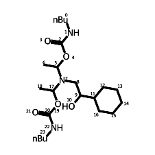 CCCCNC(=O)OC(C)N(CC(O)C1CCCCC1)C(C)OC(=O)NCCCC